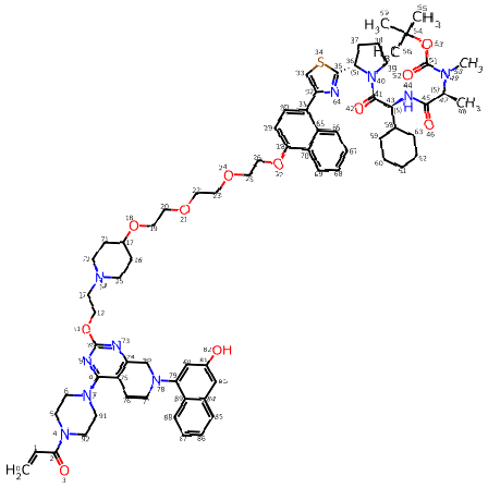 C=CC(=O)N1CCN(c2nc(OCCN3CCC(OCCOCCOCCOc4ccc(-c5csc([C@@H]6CCCN6C(=O)[C@@H](NC(=O)[C@H](C)N(C)C(=O)OC(C)(C)C)C6CCCCC6)n5)c5ccccc45)CC3)nc3c2CCN(c2cc(O)cc4ccccc24)C3)CC1